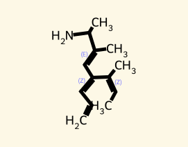 C=C/C=C(/C=C(\C)C(C)N)C(\C)=C/C